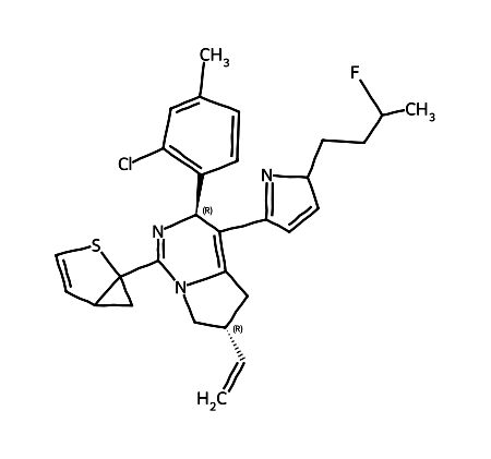 C=C[C@H]1CC2=C(C3=NC(CCC(C)F)C=C3)[C@H](c3ccc(C)cc3Cl)N=C(C34CC3C=CS4)N2C1